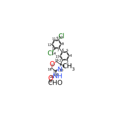 CC1(c2cccc(-c3cc(Cl)ccc3Cl)c2)COCC(NOC=O)=N1